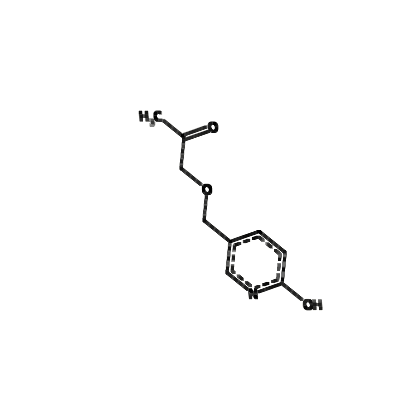 CC(=O)COCc1ccc(O)nc1